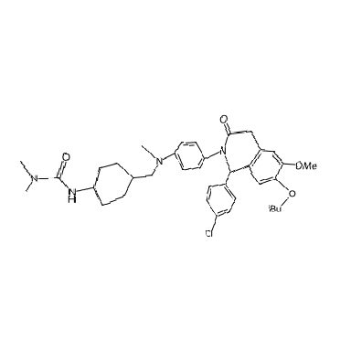 CCC(C)Oc1cc2c(cc1OC)CC(=O)N(c1ccc(N(C)CC3CCC(NC(=O)N(C)C)CC3)cc1)C2c1ccc(Cl)cc1